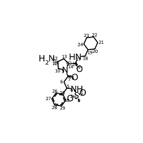 CS(=O)(=O)NC(CC(=O)N1C[C@H](N)C[C@H]1C(=O)NCC1CCCCC1)c1ccccc1